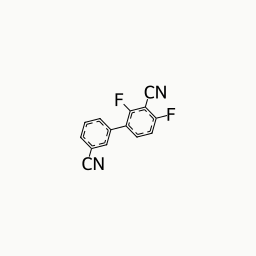 N#Cc1cccc(-c2ccc(F)c(C#N)c2F)c1